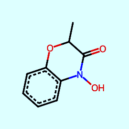 CC1Oc2ccccc2N(O)C1=O